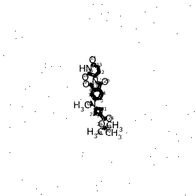 CN(c1ccc2c(c1)C(=O)N([C@@H]1CCC(=O)NC1=O)C2=O)C1CC(C(=O)OC(C)(C)C)C1